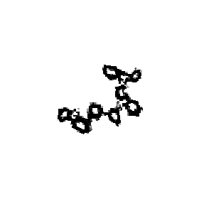 c1cc(-c2cccc(-n3c4ccccc4c4cc(-n5c6ccccc6c6ccccc65)ccc43)c2)cc(-c2cccc3c2sc2ccccc23)c1